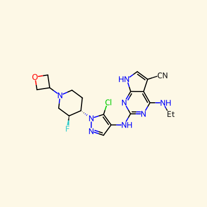 CCNc1nc(Nc2cnn([C@H]3CCN(C4COC4)C[C@@H]3F)c2Cl)nc2[nH]cc(C#N)c12